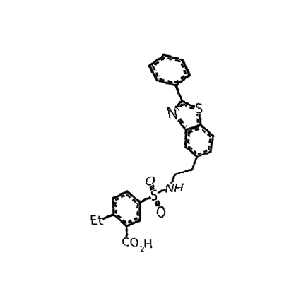 CCc1ccc(S(=O)(=O)NCCc2ccc3sc(-c4ccccc4)nc3c2)cc1C(=O)O